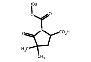 CC(C)(C)OC(=O)N1C(=O)C(C)(C)CC1C(=O)O